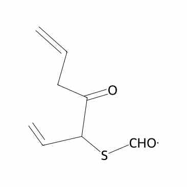 C=CCC(=O)C(C=C)S[C]=O